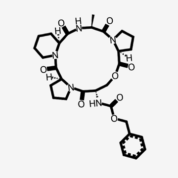 C[C@@H]1NC(=O)[C@@H]2CCCCN2C(=O)[C@@H]2CCCN2C(=O)[C@@H](NC(=O)OCc2ccccc2)COC(=O)[C@@H]2CCCN2C1=O